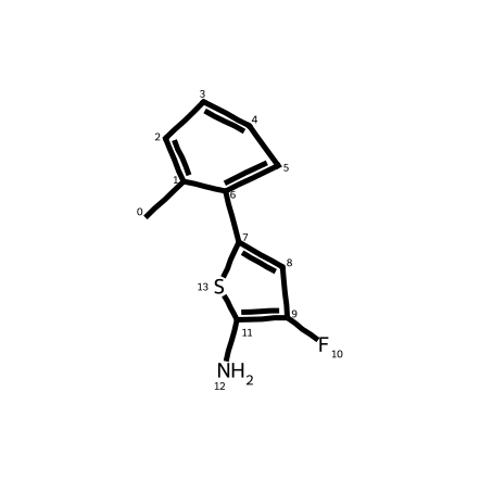 Cc1ccccc1-c1cc(F)c(N)s1